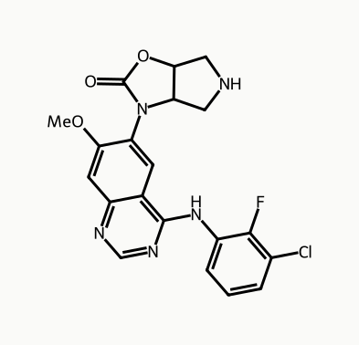 COc1cc2ncnc(Nc3cccc(Cl)c3F)c2cc1N1C(=O)OC2CNCC21